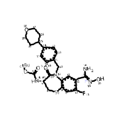 CC(C)(C)OC(=O)N[C@H]1CSc2cc(F)c(/C(N)=N/O)cc2N(Cc2ccc(C3CCOCC3)cc2)C1=O